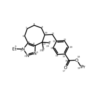 CCn1nnc2c1CCCCC(Cc1ccc(C(=O)OC(C)C)cc1)C2(F)F